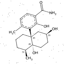 Cc1ccc(C(N)=O)c(O)c1[C@]12CCC[C@H](C)[C@]1(O)CC[C@H](O)C2